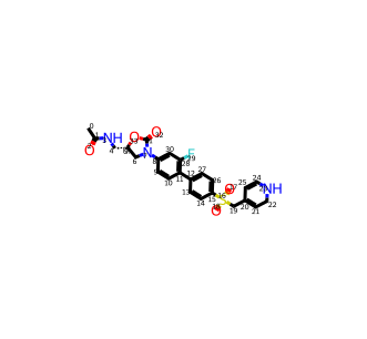 CC(=O)NC[C@H]1CN(c2ccc(-c3ccc(S(=O)(=O)CC4=CCNC=C4)cc3)c(F)c2)C(=O)O1